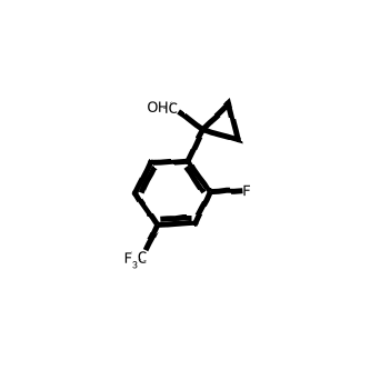 O=CC1(c2ccc(C(F)(F)F)cc2F)CC1